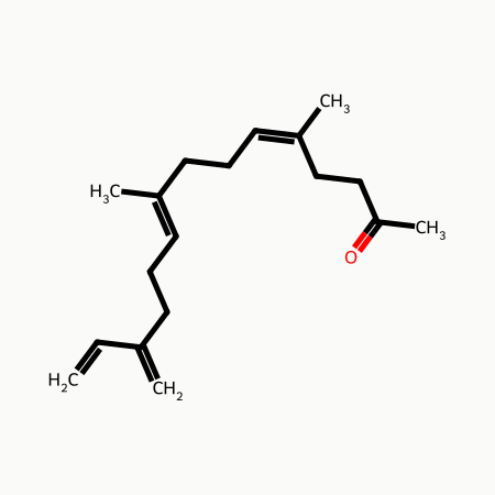 C=CC(=C)CCC=C(C)CC/C=C(/C)CCC(C)=O